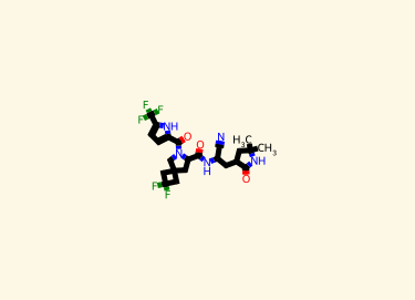 CC1(C)CC(CC(C#N)NC(=O)C2CC3(CN2C(=O)c2ccc(C(F)(F)F)[nH]2)CC(F)(F)C3)C(=O)N1